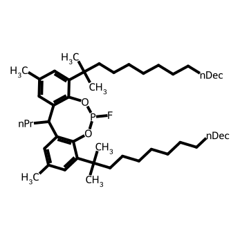 CCCCCCCCCCCCCCCCCC(C)(C)c1cc(C)cc2c1OP(F)Oc1c(cc(C)cc1C(C)(C)CCCCCCCCCCCCCCCCC)C2CCC